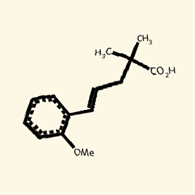 COc1ccccc1/C=C/CC(C)(C)C(=O)O